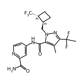 Cc1c(C(C)(F)F)nn(C[C@@H]2CC[C@H]2C(F)(F)F)c1C(=O)Nc1ccnc(C(N)=O)c1